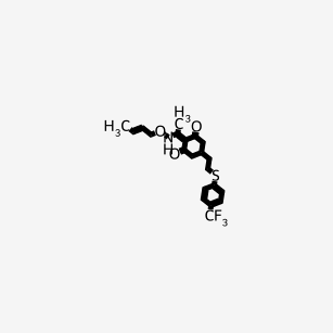 CC=CCONC(C)=C1C(=O)CC(CCSc2ccc(C(F)(F)F)cc2)CC1=O